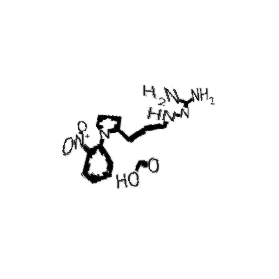 NC(N)=NNC=C=Cc1cccn1-c1ccccc1[N+](=O)[O-].O=CO